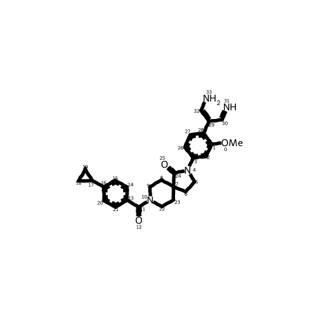 COc1cc(N2CCC3(CCN(C(=O)c4ccc(C5CC5)cc4)CC3)C2=O)ccc1/C(C=N)=C/N